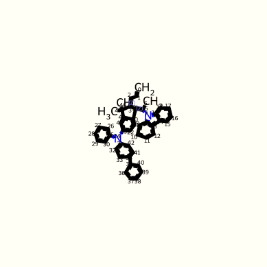 C=C/C=C1\C(=C(/C)n2c3ccccc3c3ccccc32)c2ccc(N(c3ccccc3)c3ccc(-c4ccccc4)cc3)cc2C1(C)C